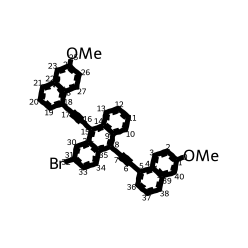 COc1ccc2c(C#Cc3c4ccccc4c(C#Cc4cccc5cc(OC)ccc45)c4cc(Br)ccc34)cccc2c1